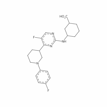 O=C(O)C1CCCC(Nc2ncc(F)c(C3CCCN(c4ccc(F)cc4)C3)n2)C1